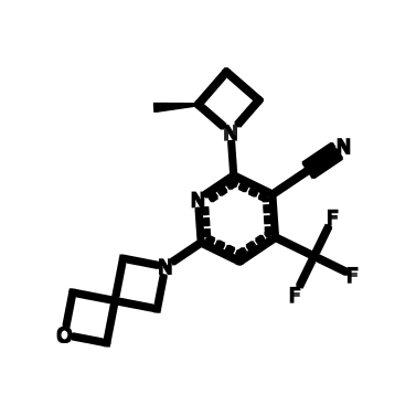 C[C@H]1CCN1c1nc(N2CC3(COC3)C2)cc(C(F)(F)F)c1C#N